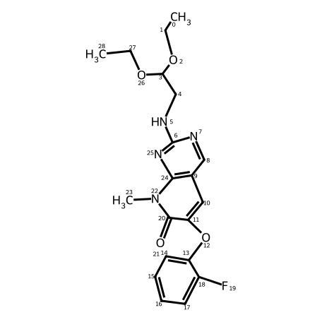 CCOC(CNc1ncc2cc(Oc3ccccc3F)c(=O)n(C)c2n1)OCC